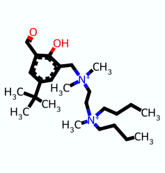 CCCC[N+](C)(CCCC)CC[N+](C)(C)Cc1cc(C(C)(C)C)cc(C=O)c1O